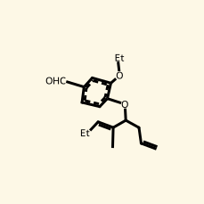 C=CCC(Oc1ccc(C=O)cc1OCC)C(C)=CCC